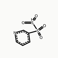 O=[SH](=O)S(=O)(=O)c1cccnc1